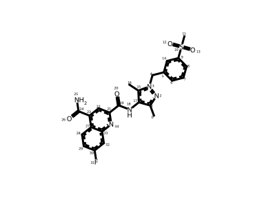 Cc1nn(Cc2cccc(S(C)(=O)=O)c2)c(C)c1NC(=O)c1cc(C(N)=O)c2ccc(F)cc2n1